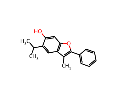 Cc1c(-c2ccccc2)oc2cc(O)c(C(C)C)cc12